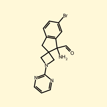 NC1(C=O)c2cc(Br)ccc2CC12CN(c1ncccn1)C2